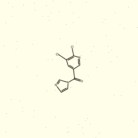 O=C(c1cnc(Cl)c(Cl)c1)n1ccnc1